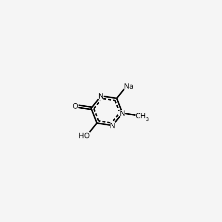 Cn1nc(O)c(=O)n[c]1[Na]